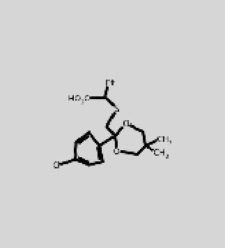 CCC(SCC1(c2ccc(Cl)cc2)OCC(C)(C)CO1)C(=O)O